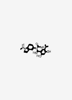 CNn1ccc2cc(N(C(=N)c3cc(C(C)C)c(O)cc3O)C(N)=O)ccc21